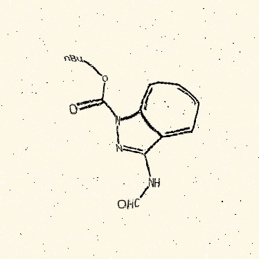 CCCCOC(=O)n1nc(NC=O)c2ccccc21